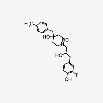 Cc1ccc(CC2(O)CCN(CC(O)Cc3ccc(O)c(F)c3)CC2)cc1.Cl